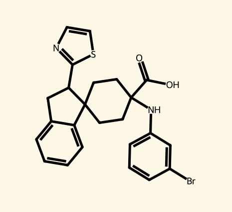 O=C(O)C1(Nc2cccc(Br)c2)CCC2(CC1)c1ccccc1CC2c1nccs1